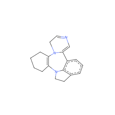 C1=NC=C2c3cccc4c3N(CC4)C3=C(CCCC3)N2C1